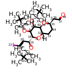 CC(C)(C)[Si](C)(C)OC1C(O[Si](C)(C)C(C)(C)C)[C@@H](C(/C=C/I)O[Si](C)(C)C(C)(C)C)O[C@H]2CC[C@H](CC=O)OC12